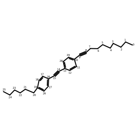 CCCCCCCCC#Cc1ccc(C#Cc2ccc(CCCCCC)cc2)cc1